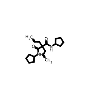 C=CCC(CC=C)(C(=O)NC1CCCC1)C(=O)NC1CCCC1